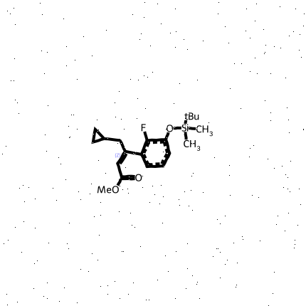 COC(=O)/C=C(/CC1CC1)c1cccc(O[Si](C)(C)C(C)(C)C)c1F